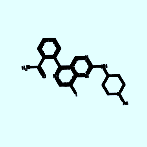 CC(=O)N1CCC(Nc2ncc3c(-c4ccccc4C(N)=O)ncc(I)c3n2)CC1